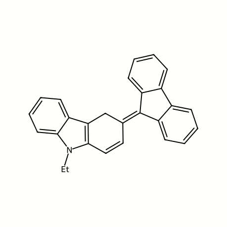 CCn1c2c(c3ccccc31)CC(=C1c3ccccc3-c3ccccc31)C=C2